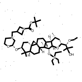 CCO[C@@H]([C@H]1C[C@@H](C)[C@H]2[C@H](O1)[C@H](O[Si](CC)(CC)CC)[C@@]1(C)[C@@H]3CC[C@H]4C(C)(C)[C@@H](O[C@H]5CN(CC6CN(C(=O)OC(C)(C)C)C6)CCO5)CC[C@@]45C[C@@]35CC[C@]21C)C(C)(C)O